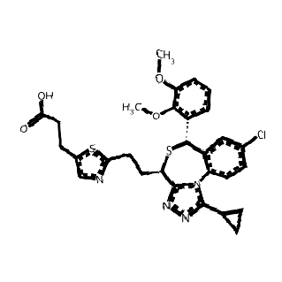 COc1cccc([C@H]2S[C@H](CCc3ncc(CCC(=O)O)s3)c3nnc(C4CC4)n3-c3ccc(Cl)cc32)c1OC